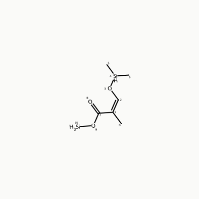 CC(=CO[SiH](C)C)C(=O)O[SiH3]